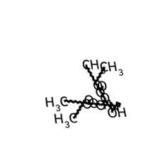 CCCCCCCCC(CCCCCCCC)COCC(C=O)OCCOCCN(CCOCCOCC(=O)OCC(CCCCCCCC)CCCCCCCC)CCN(CCO)C1CCC1